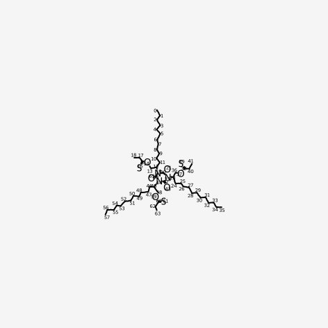 CCCCCCCCCCCCC(COC(=S)CC)n1c(=O)n(C(CCCCCCCCCCCC)COC(=S)CC)c(=O)n(C(CCCCCCCCCCCC)COC(=S)CC)c1=O